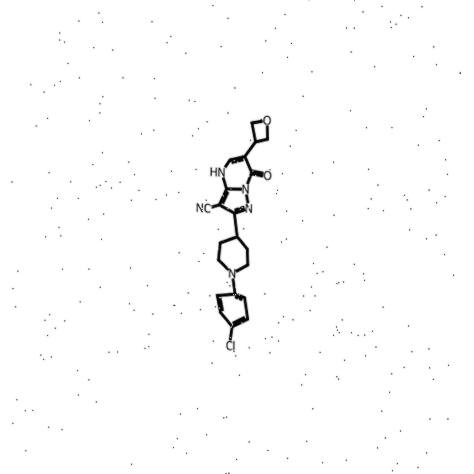 N#Cc1c(C2CCN(c3ccc(Cl)cc3)CC2)nn2c(=O)c(C3COC3)c[nH]c12